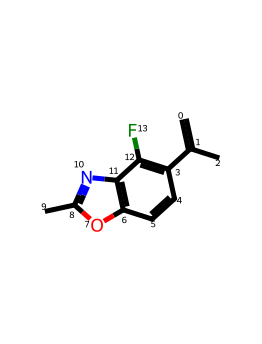 C=C(C)c1ccc2oc(C)nc2c1F